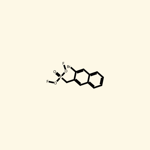 O=P(Cc1cc2ccccc2cc1Br)(OF)OF